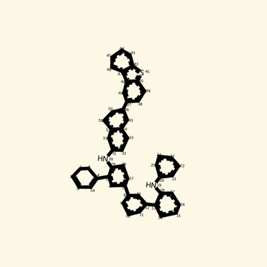 C1=CCCC(c2cc(-c3cccc(-c4ccccc4Nc4ccccc4)c3)ccc2Nc2ccc3cc(-c4ccc5sc6ccccc6c5c4)ccc3c2)=C1